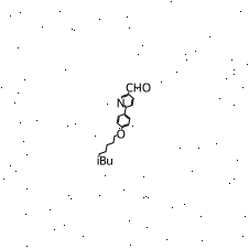 CCC(C)CCCCCOc1ccc(-c2ccc(C=O)cn2)cc1